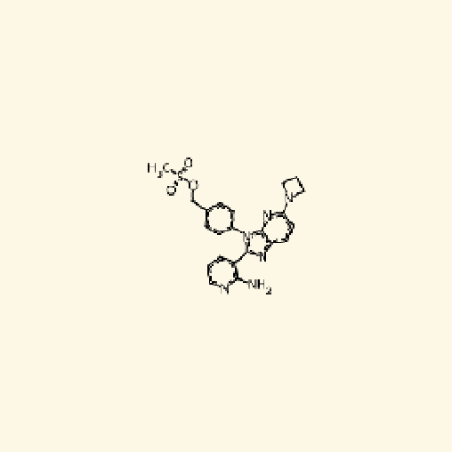 CS(=O)(=O)OCc1ccc(-n2c(-c3cccnc3N)nc3ccc(N4CCC4)nc32)cc1